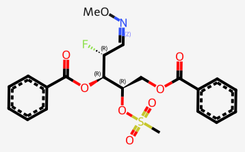 CO/N=C\[C@@H](F)[C@H](OC(=O)c1ccccc1)[C@@H](COC(=O)c1ccccc1)OS(C)(=O)=O